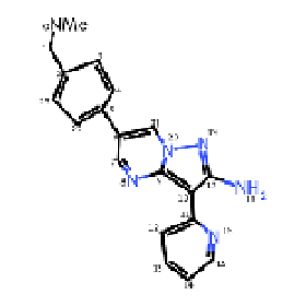 CNCc1ccc(-c2cnc3c(-c4ccccn4)c(N)nn3c2)cc1